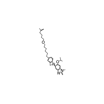 C=C(C)CCCCOCCCCCCc1ccc2c(c1)CN2c1cc2c(cc1OC(C)C)N(C)C(=C)N2C